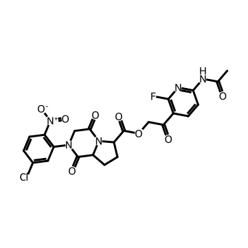 CC(=O)Nc1ccc(C(=O)COC(=O)C2CCC3C(=O)N(c4cc(Cl)ccc4[N+](=O)[O-])CC(=O)N23)c(F)n1